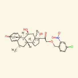 C[C@H]1C[C@@H]2[C@H]([C@@H](O)C[C@@]3(C)[C@H]2CC[C@]3(O)C(=O)COCc2ccc(Cl)cc2[N+](=O)[O-])[C@@]2(C)C=CC(=O)C=C12